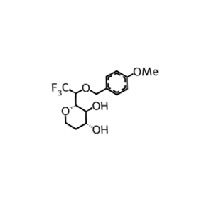 COc1ccc(CO[C@@H]([C@H]2OCC[C@@H](O)[C@@H]2O)C(F)(F)F)cc1